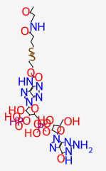 CC(=O)CCNC(=O)CCCSSCCOC(=O)Nc1ncnc2c1ncn2[C@@H]1OC(COP(=O)(O)O[C@@H]2[C@H](O)C(CO)O[C@H]2n2cnc3c(=O)[nH]c(N)nc32)[C@@H](O[PH](=O)O)[C@H]1O